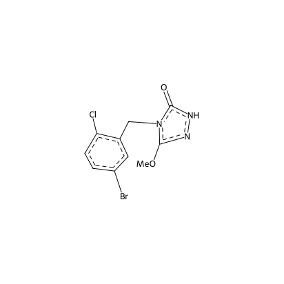 COc1n[nH]c(=O)n1Cc1cc(Br)ccc1Cl